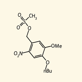 CCCCOc1cc([N+](=O)[O-])c(COS(C)(=O)=O)cc1OC